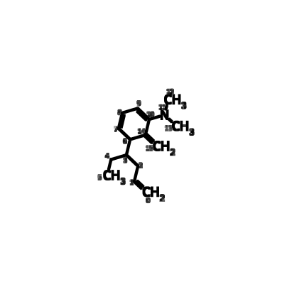 C=CCC(CC)C1C=CC=C(N(C)C)C1=C